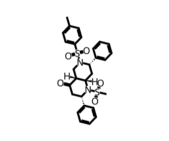 Cc1ccc(S(=O)(=O)N2C[C@H]3C(=O)C[C@@H](c4ccccc4)N(S(C)(=O)=O)[C@H]3C[C@H]2c2ccccc2)cc1